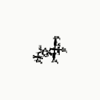 CC#CC(C#CC)(CS(=O)(=O)OS(=O)(=O)CS(C)(=O)=O)S(C)(=O)=O